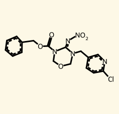 O=C(OCc1ccccc1)N1COCN(Cc2ccc(Cl)nc2)C1=N[N+](=O)[O-]